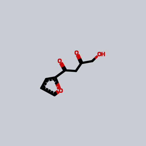 O=C(CO)CC(=O)c1ccco1